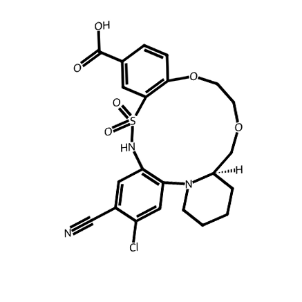 N#Cc1cc2c(cc1Cl)N1CCCC[C@@H]1COCCOc1ccc(C(=O)O)cc1S(=O)(=O)N2